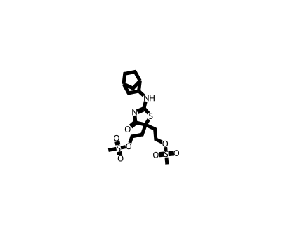 CS(=O)(=O)OCCC1(CCOS(C)(=O)=O)SC(NC2CC3CCC2C3)=NC1=O